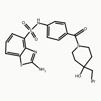 CC(C)CC1(O)CCN(C(=O)c2ccc(NS(=O)(=O)c3cccc4sc(N)nc34)cc2)CC1